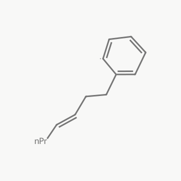 CCCC=CCCc1[c]cccc1